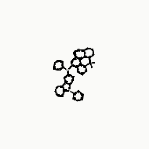 CC1(C)c2cccc3ccc4cc(N(c5ccccc5)c5ccc6c(c5)c5ccccc5n6-c5ccccc5)c5cccc1c5c4c23